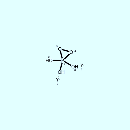 OP1(O)(O)OO1.[Y].[Y]